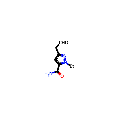 CCn1nc(CC=O)cc1C(N)=O